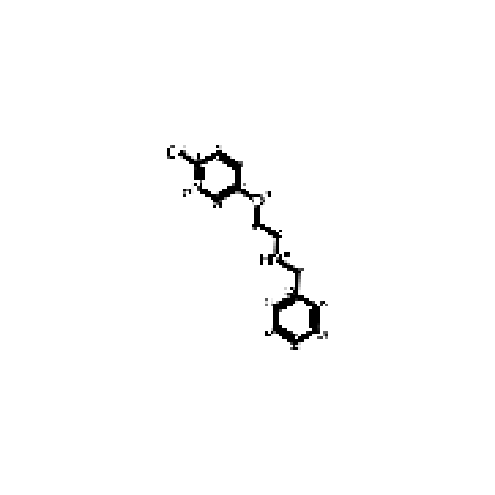 Clc1ccc(OCCNCc2ccccc2)cn1